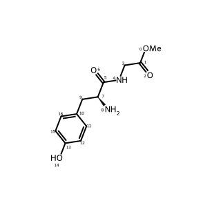 COC(=O)CNC(=O)[C@@H](N)Cc1ccc(O)cc1